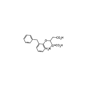 N[C@H](C(=O)O)C(CC(=O)O)Oc1ccccc1Cc1ccccc1